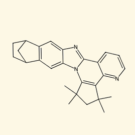 CC1(C)CC(C)(C)c2c1c1ncccc1c1nc3cc4c(cc3n21)C1CCC4C1